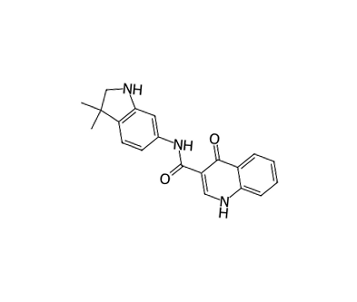 CC1(C)CNc2cc(NC(=O)c3c[nH]c4ccccc4c3=O)ccc21